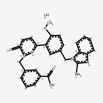 COc1ccc(Cn2c(N)nc3ccccc32)cc1-c1ccc(=O)n(Cc2cccc(C(=O)O)c2)n1.[LiH]